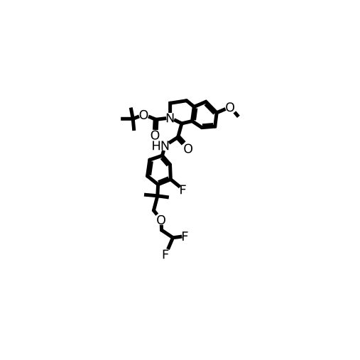 COc1ccc2c(c1)CCN(C(=O)OC(C)(C)C)C2C(=O)Nc1ccc(C(C)(C)COCC(F)F)c(F)c1